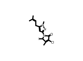 CC(C)=CCc1cc(N2C(=O)C(Cl)=C(C)C2I)nn1C